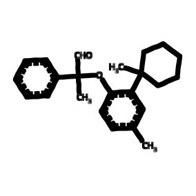 Cc1ccc(OC(C)(C=O)c2ccccc2)c(C2(C)CCCCC2)c1